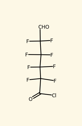 O=CC(F)(F)C(F)(F)C(F)(F)C(F)(F)C(=O)Cl